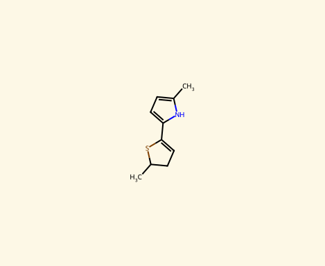 Cc1ccc(C2=CCC(C)S2)[nH]1